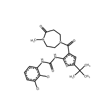 CN1CCN(C(=O)c2cc(C(C)(C)C)sc2NC(=O)Nc2cccc(Cl)c2Cl)CCC1=O